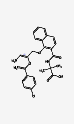 C=C(O/C(=C\N)COc1c(C(=O)NC(C)(C)C(=O)O)ccc2ccccc12)c1ccc(Cl)cc1